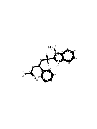 Cn1c(C(F)(F)CC(CC(N)=O)c2ccccc2)nc2ccccc21